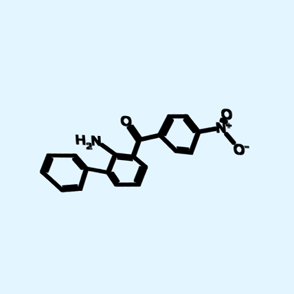 Nc1c(C(=O)c2ccc([N+](=O)[O-])cc2)cccc1-c1ccccc1